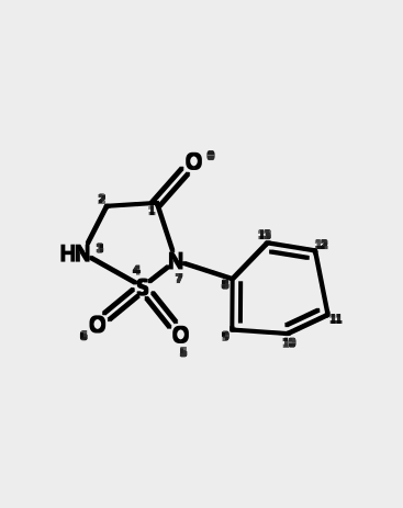 O=C1CNS(=O)(=O)N1c1ccccc1